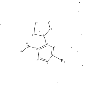 CCC(CC)c1cc(F)ccc1OC